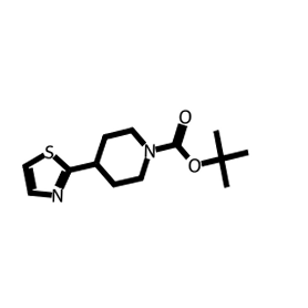 CC(C)(C)OC(=O)N1CCC(c2nccs2)CC1